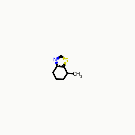 CC1CCCc2ncsc21